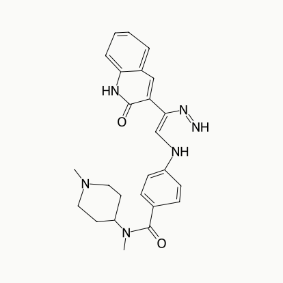 CN1CCC(N(C)C(=O)c2ccc(N/C=C(\N=N)c3cc4ccccc4[nH]c3=O)cc2)CC1